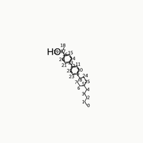 CCCCCC1CCC(c2ccc(-c3ccc(C(C)O)cc3)cc2)CC1